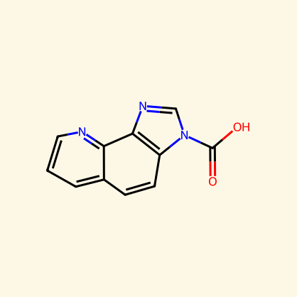 O=C(O)n1cnc2c3ncccc3ccc21